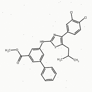 COC(=O)c1cc(Nc2nc(-c3ccc(Cl)c(Cl)c3)c(CC(C)C)s2)cc(-c2ccccc2)c1